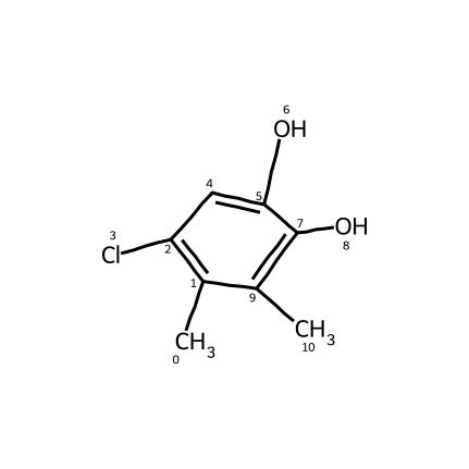 Cc1c(Cl)cc(O)c(O)c1C